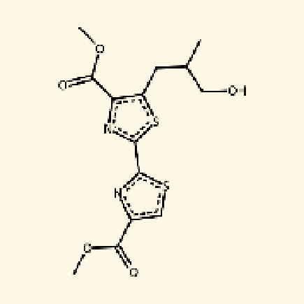 COC(=O)c1csc(-c2nc(C(=O)OC)c(CC(C)CO)s2)n1